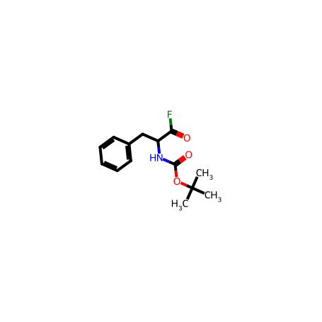 CC(C)(C)OC(=O)NC(Cc1ccccc1)C(=O)F